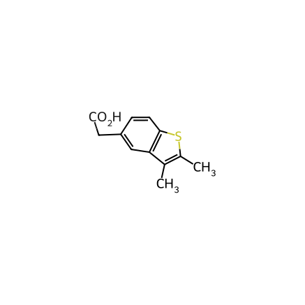 Cc1sc2ccc(CC(=O)O)cc2c1C